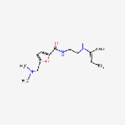 CNC(=C[N+](=O)[O-])NCCNC(=O)c1ccc(CN(C)C)o1